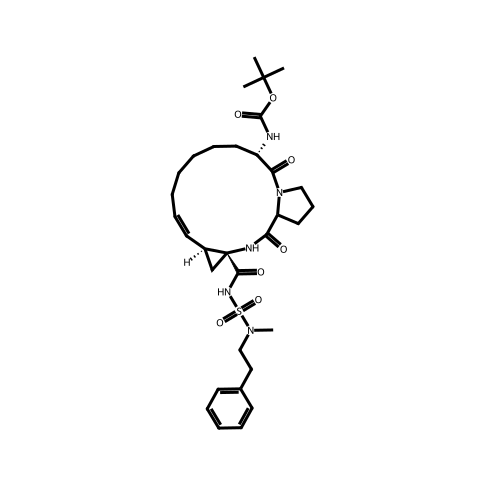 CN(CCc1ccccc1)S(=O)(=O)NC(=O)[C@@]12C[C@H]1/C=C\CCCCC[C@H](NC(=O)OC(C)(C)C)C(=O)N1CCCC1C(=O)N2